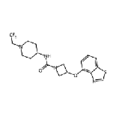 O=C(NC1CCN(CC(F)(F)F)CC1)N1CC(Oc2cccc3scnc23)C1